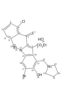 CCOC(=O)c1c(C(=S)c2c(Cl)cccc2Cl)n(CC)c2cc(Br)c(O)c(CN3CCCC3)c12.Cl